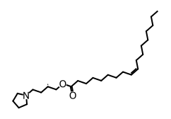 CCCCCCCC/C=C\CCCCCCCC(=O)OC[CH]CCN1CCCC1